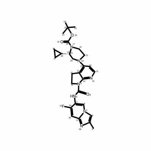 Cc1cn2cc(NC(=O)N3CCc4c(N5CCN(C(=O)OC(C)(C)C)[C@@H](C6CC6)C5)ccnc43)c(F)cc2n1